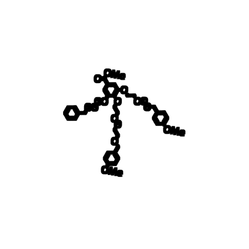 COC(=O)c1cc(OCCOOOCc2ccc(OC)cc2)c(OCCOOCCOCc2ccc(OC)cc2)c(OOOOCc2ccccc2)c1